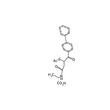 CC(=O)SC(CC(=O)N[C@@H](C)C(=O)O)C(=O)c1ccc(-c2ccccc2)cc1